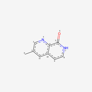 Cc1cnc2c(=O)[nH]ccc2c1